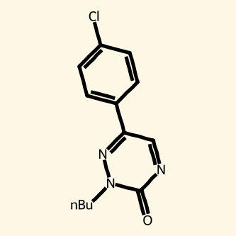 CCCCn1nc(-c2ccc(Cl)cc2)cnc1=O